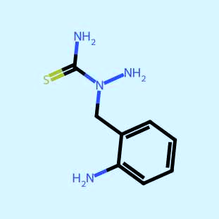 NC(=S)N(N)Cc1ccccc1N